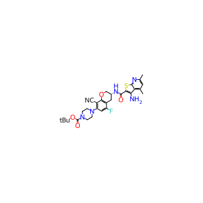 Cc1cc(C)c2c(N)c(C(=O)N[C@H]3COc4c(C#N)c(N5CCN(C(=O)OC(C)(C)C)CC5)cc(F)c4C3)sc2n1